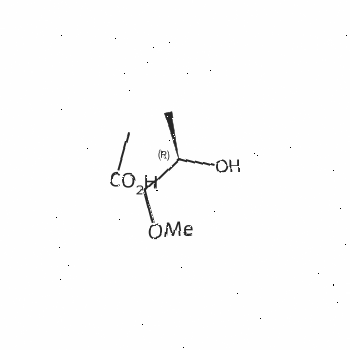 CC(=O)O.COC[C@@H](C)O